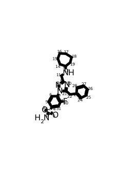 NS(=O)(=O)c1ccc(-n2nc(CNC3CCCCCC3)nc2Cc2ccccc2)c(F)c1